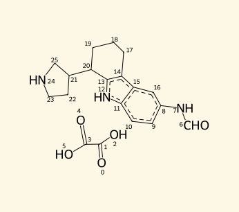 O=C(O)C(=O)O.O=CNc1ccc2[nH]c3c(c2c1)CCCC3C1CCNC1